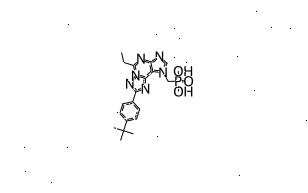 CCc1nc2ncn(CP(=O)(O)O)c2c2nc(-c3ccc(C(C)(C)C)cc3)nn12